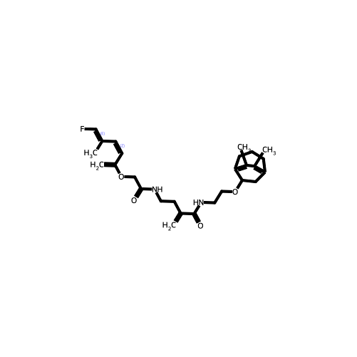 C=C(/C=C\C(C)=C\F)OCC(=O)NCCC(=C)C(=O)NCCOC1CC2=C(C)C(C)=C1CCC2